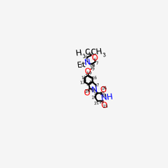 CCN1CC(C)(C)OC[C@@H]1COc1ccc2c(c1)CN(C1CCC(=O)NC1=O)C2=O